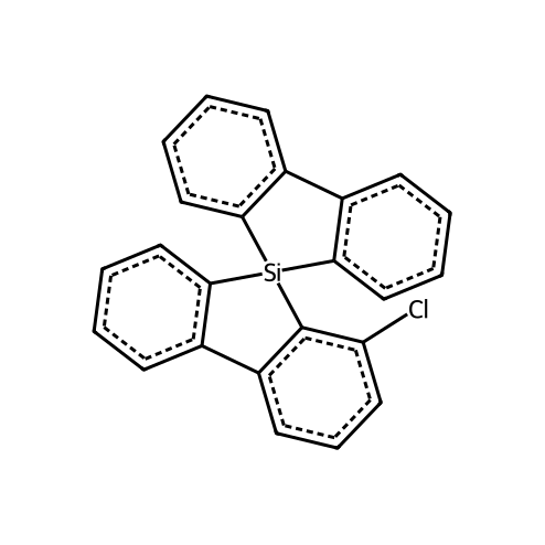 Clc1cccc2c1[Si]1(c3ccccc3-c3ccccc31)c1ccccc1-2